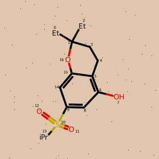 CCC1(CC)CCc2c(O)cc(S(=O)(=O)C(C)C)cc2O1